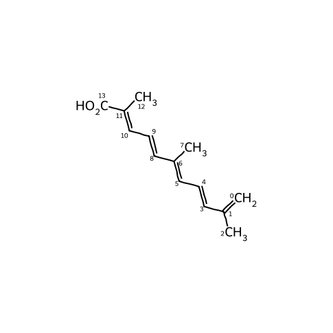 C=C(C)/C=C/C=C(C)/C=C/C=C(\C)C(=O)O